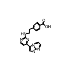 O=C(O)c1ccc(CCNc2nccc(-c3cnc4ncccn34)n2)cc1